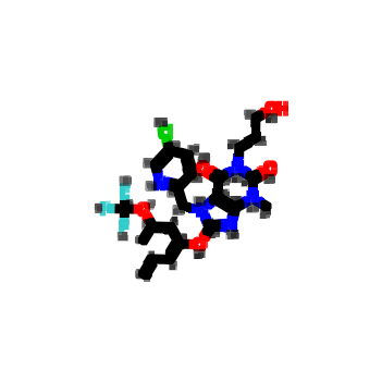 C=C/C=C(\C=C(/C)OC(F)(F)F)Oc1nc2c(c(=O)n(CCCO)c(=O)n2C)n1Cc1ccc(Cl)cn1